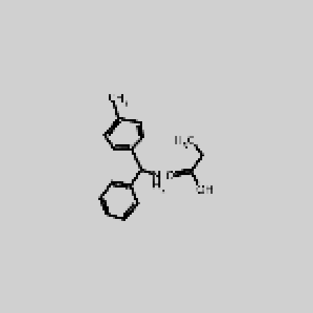 CCC(=O)O.Cc1ccc(C(N)c2ccccc2)cc1